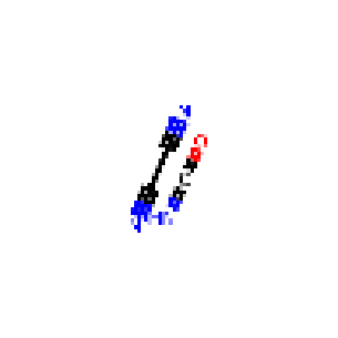 N#CC#N.N=C=O